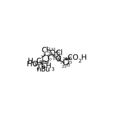 CCCCC(O)C(C)(C)c1ccc(C2C(Cl)CC(Cl)C2COCc2cccc(C(=O)O)c2)cc1